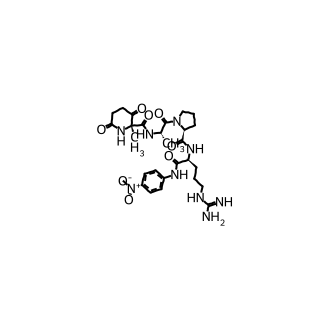 C[C@H](NC(=O)[C@]1(C)NC(=O)CCC1=O)C(=O)N1CCC[C@H]1C(=O)N[C@@H](CCCNC(=N)N)C(=O)Nc1ccc([N+](=O)[O-])cc1